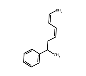 B/C=C\C=C/CC(C)c1ccccc1